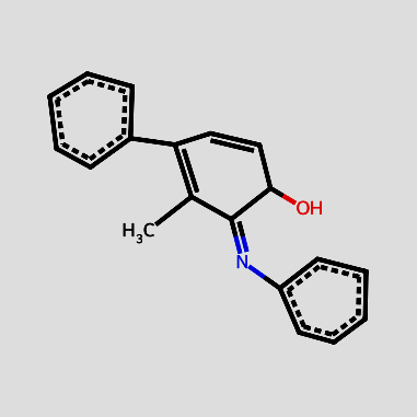 CC1=C(c2ccccc2)C=CC(O)C1=Nc1ccccc1